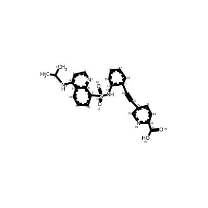 CC(C)Nc1ccnc2c(S(=O)(=O)Nc3ccccc3C#Cc3ccc(C(=O)O)nc3)cccc12